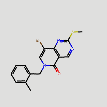 CSc1ncc2c(=O)n(Cc3ccccc3C)cc(Br)c2n1